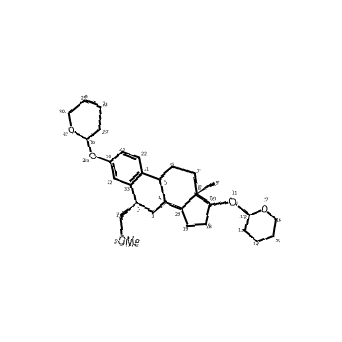 COC[C@@H]1CC2C(CC[C@]3(C)C(OC4CCCCO4)CCC23)c2ccc(OC3CCCCO3)cc21